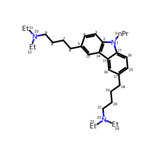 CCCn1c2ccc(CCCCN(CC)CC)cc2c2cc(CCCCN(CC)CC)ccc21